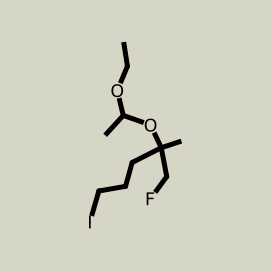 CCOC(C)OC(C)(CF)CCCI